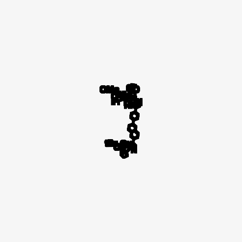 COC(=O)N[C@H](C(=O)N1CC2(C[C@H]1c1ncc(-c3ccc(-c4ccc5cc(-c6cnc(C7CCCN7C(=O)OC(C)(C)C)[nH]6)ccc5c4)cc3)[nH]1)OCCO2)C(C)C